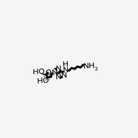 NCCCCCCNc1ncnc2c1ncn2[C@H]1C[C@H](O)[C@@H](CO)O1